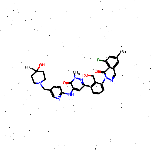 Cn1nc(-c2cccc(-n3ncc4cc(C(C)(C)C)cc(F)c4c3=O)c2CO)cc(Nc2ccc(CN3CCC(C)(O)CC3)cn2)c1=O